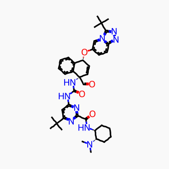 CN(C)[C@H]1CCCC[C@@H]1NC(=O)c1nc(NC(=O)N[C@@]2(C=O)C=C[C@@H](Oc3ccc4nnc(C(C)(C)C)n4c3)c3ccccc32)cc(C(C)(C)C)n1